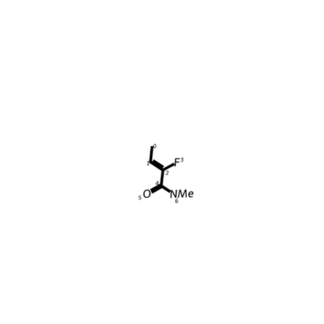 CC=C(F)C(=O)NC